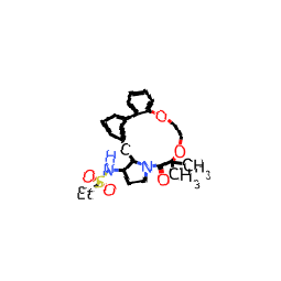 CCS(=O)(=O)NC1CCN2C(=O)C(C)(C)OCCOc3ccccc3-c3cccc(c3)CC12